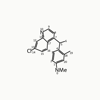 CNc1ccc(C(C)c2ccnc3cc(Cl)ccc23)c(C)c1